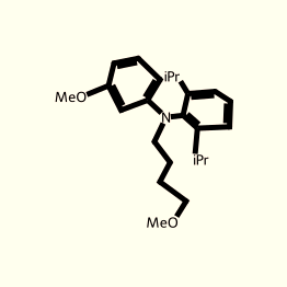 COCCCCN(c1cccc(OC)c1)c1c(C(C)C)cccc1C(C)C